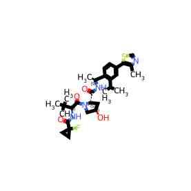 Cc1ncsc1-c1ccc([C@H](C)NC(=O)[C@@H]2C[C@@H](O)CN2C(=O)[C@@H](NC(=O)C2(F)CC2)C(C)(C)C)c(C(C)C)c1